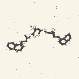 C=C(CC(=O)OCC(=O)CCc1cccc2ccccc12)C(=O)OCC(=O)CCc1cccc2ccccc12